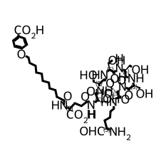 N[C@H](C=O)CCCCNC(=O)[C@H](CO)NC(=O)[C@H](CO)NC(=O)[C@H](CO)NC(=O)[C@H](CO)NC(=O)[C@H](CO)NC(=O)[C@H](CO)NC(=O)CC[C@H](NC(=O)CCCCCCCCCCOc1ccc(C(=O)O)cc1)C(=O)O